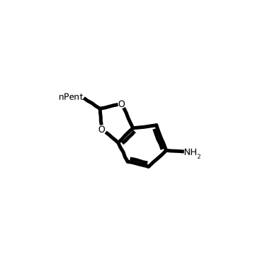 CCCCCC1Oc2ccc(N)cc2O1